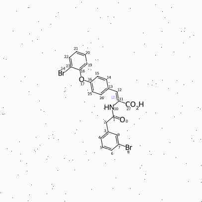 O=C(Cc1cccc(Br)c1)N/C(=C\c1ccc(Oc2ccccc2Br)cc1)C(=O)O